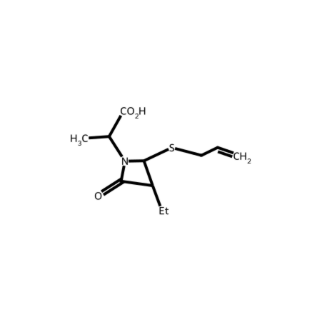 C=CCSC1C(CC)C(=O)N1C(C)C(=O)O